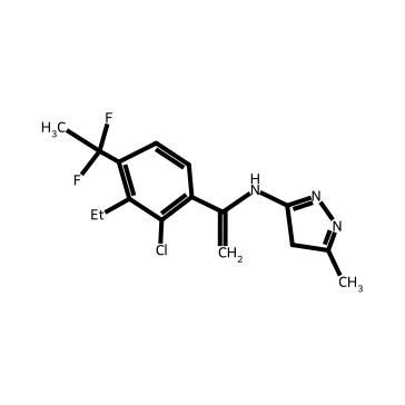 C=C(NC1=NN=C(C)C1)c1ccc(C(C)(F)F)c(CC)c1Cl